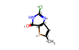 Cc1cc2nc(Cl)[nH]c(=O)c2s1